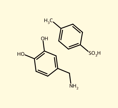 Cc1ccc(S(=O)(=O)O)cc1.NCc1ccc(O)c(O)c1